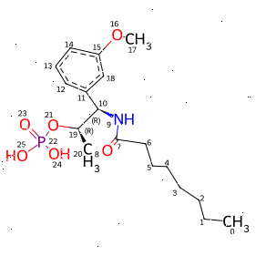 CCCCCCCC(=O)N[C@H](c1cccc(OC)c1)[C@@H](C)OP(=O)(O)O